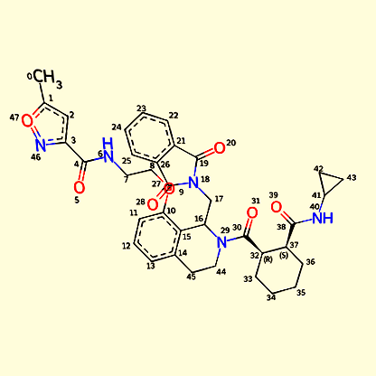 Cc1cc(C(=O)NCCOc2cccc3c2C(CN2C(=O)c4ccccc4C2=O)N(C(=O)[C@@H]2CCCC[C@@H]2C(=O)NC2CC2)CC3)no1